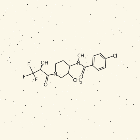 CC1CN(C(=O)[C@H](O)C(F)(F)F)CCC1N(C)C(=O)c1ccc(Cl)cc1